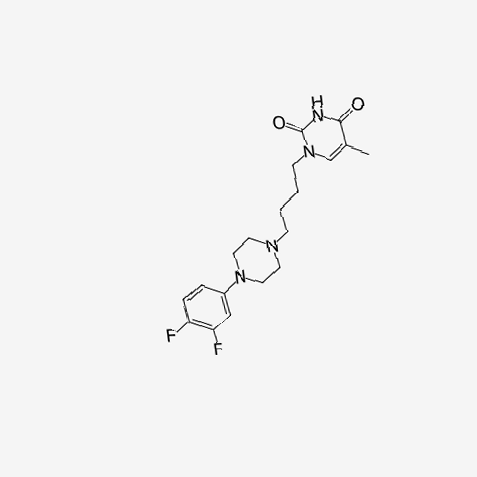 Cc1cn(CCCCN2CCN(c3ccc(F)c(F)c3)CC2)c(=O)[nH]c1=O